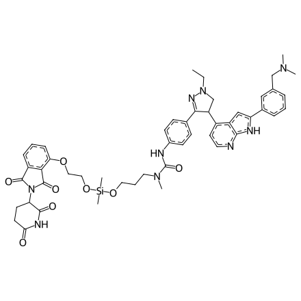 CCN1CC(c2ccnc3[nH]c(-c4cccc(CN(C)C)c4)cc23)C(c2ccc(NC(=O)N(C)CCCO[Si](C)(C)OCCOc3cccc4c3C(=O)N(C3CCC(=O)NC3=O)C4=O)cc2)=N1